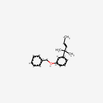 CC=CC(C)(C)c1cccc(OCc2ccccc2)c1